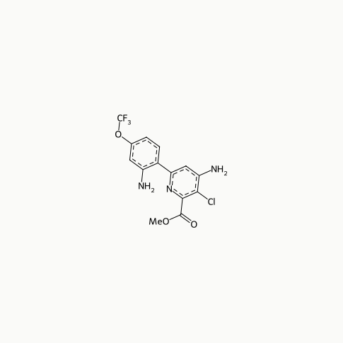 COC(=O)c1nc(-c2ccc(OC(F)(F)F)cc2N)cc(N)c1Cl